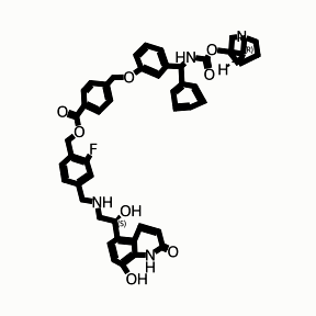 O=C(NC(c1ccccc1)c1cccc(OCc2ccc(C(=O)OCc3ccc(CNC[C@@H](O)c4ccc(O)c5[nH]c(=O)ccc45)cc3F)cc2)c1)O[C@H]1CN2CCC1CC2